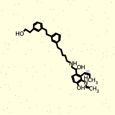 C=CNc1c(O)ccc(C(O)CNCCCCCc2cccc(CCc3cccc(CCO)c3)c2)c1/C=C\C